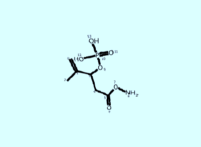 C=C(C)C(CC(=O)ON)OP(=O)(O)O